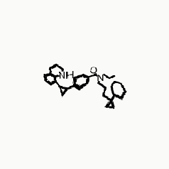 CCCN(CCCC1(C2CCCCC2)CC1)C(=O)c1ccc(C2CC2c2cccc3c2NCC=C3)cc1